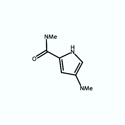 CNC(=O)c1cc(NC)c[nH]1